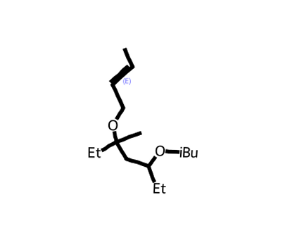 C/C=C/COC(C)(CC)CC(CC)OC(C)CC